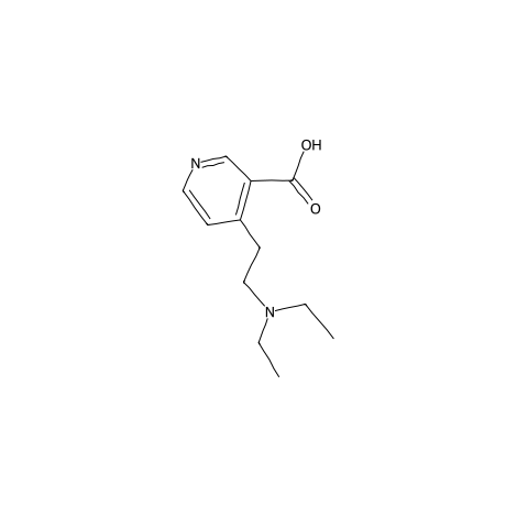 CCN(CC)CCc1ccncc1C(=O)O